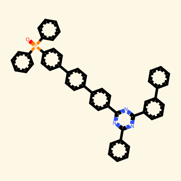 O=P(c1ccccc1)(c1ccccc1)c1ccc(-c2ccc(-c3ccc(-c4nc(-c5ccccc5)nc(-c5cccc(-c6ccccc6)c5)n4)cc3)cc2)cc1